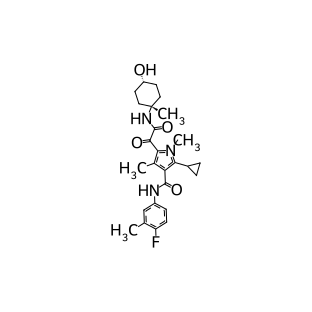 Cc1cc(NC(=O)c2c(C)c(C(=O)C(=O)N[C@]3(C)CC[C@H](O)CC3)n(C)c2C2CC2)ccc1F